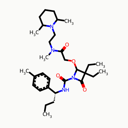 CCC[C@@H](NC(=O)N1C(=O)C(CC)(CC)C1OCC(=O)N(C)CCN1C(C)CCCC1C)c1ccc(C)cc1